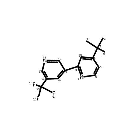 CC(C)(C)c1ccnc(-c2cncc(C(F)(F)F)c2)c1